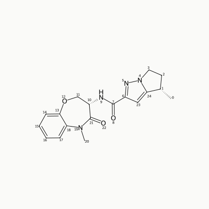 C[C@H]1CCn2nc(C(=O)N[C@H]3COc4ccccc4N(C)C3=O)cc21